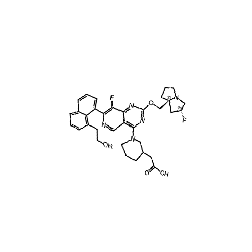 O=C(O)CC1CCCN(c2nc(OC[C@@]34CCCN3C[C@H](F)C4)nc3c(F)c(-c4cccc5cccc(CCO)c45)ncc23)C1